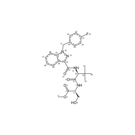 COC(=O)[C@H](CO)NC(=O)[C@@H](NC(=O)c1nn(Cc2ccc(F)cc2)c2ccccc12)C(C)(C)C